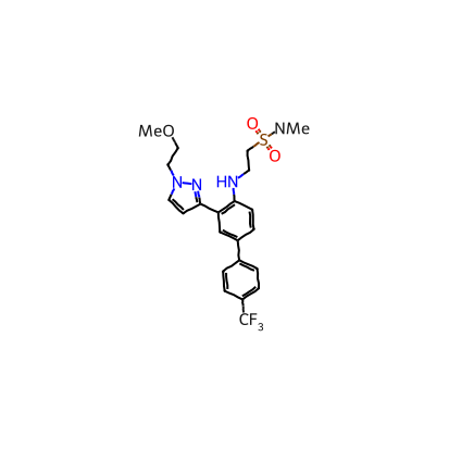 CNS(=O)(=O)CCNc1ccc(-c2ccc(C(F)(F)F)cc2)cc1-c1ccn(CCOC)n1